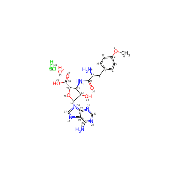 COc1ccc(C[C@H](N)C(=O)N[C@H]2[C@@H](O)[C@H](n3cnc4c(N)ncnc43)O[C@@H]2C(=O)O)cc1.Cl.Cl.O